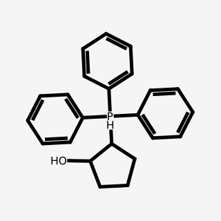 OC1CCCC1[PH](c1ccccc1)(c1ccccc1)c1ccccc1